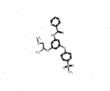 COC[C@H](C)Oc1cc(NC(=O)c2ccccn2)cc(Oc2ccc(S(C)(=O)=O)cc2)c1